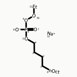 CCCCCCCCCCCCOP(=O)([O-])OOCC.[Na+]